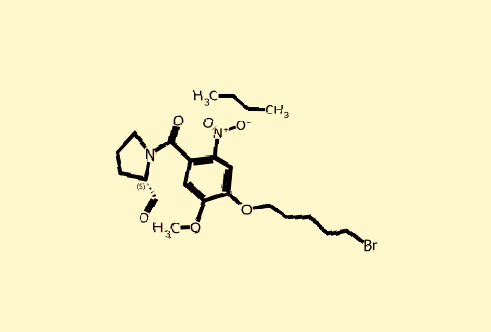 CCCC.COc1cc(C(=O)N2CCC[C@H]2C=O)c([N+](=O)[O-])cc1OCCCCCBr